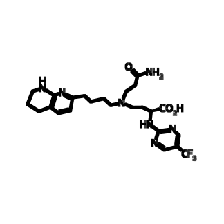 NC(=O)CCN(CCCCc1ccc2c(n1)NCCC2)CC[C@H](Nc1ncc(C(F)(F)F)cn1)C(=O)O